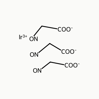 O=NCC(=O)[O-].O=NCC(=O)[O-].O=NCC(=O)[O-].[Ir+3]